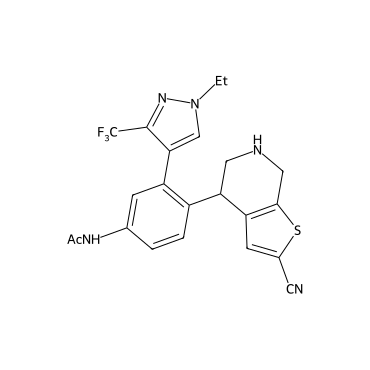 CCn1cc(-c2cc(NC(C)=O)ccc2C2CNCc3sc(C#N)cc32)c(C(F)(F)F)n1